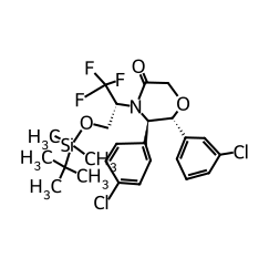 CC(C)(C)[Si](C)(C)OC[C@@H](N1C(=O)CO[C@H](c2cccc(Cl)c2)[C@H]1c1ccc(Cl)cc1)C(F)(F)F